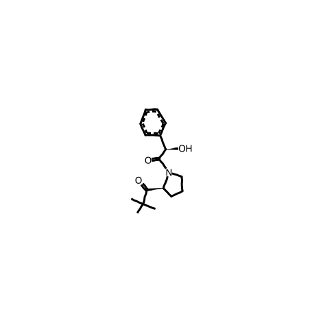 CC(C)(C)C(=O)[C@@H]1CCCN1C(=O)[C@H](O)c1ccccc1